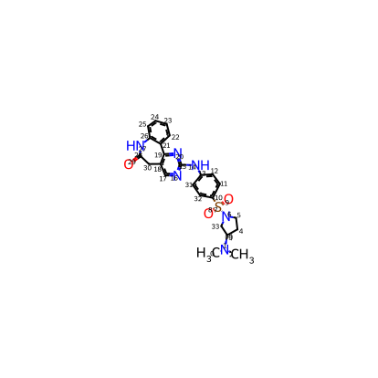 CN(C)[C@@H]1CCN(S(=O)(=O)c2ccc(Nc3ncc4c(n3)-c3ccccc3NC(=O)C4)cc2)C1